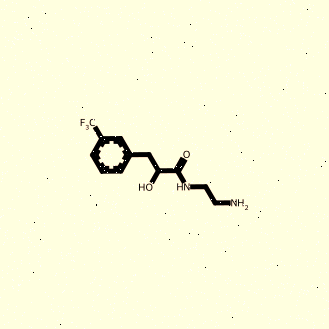 NCCNC(=O)C(O)Cc1cccc(C(F)(F)F)c1